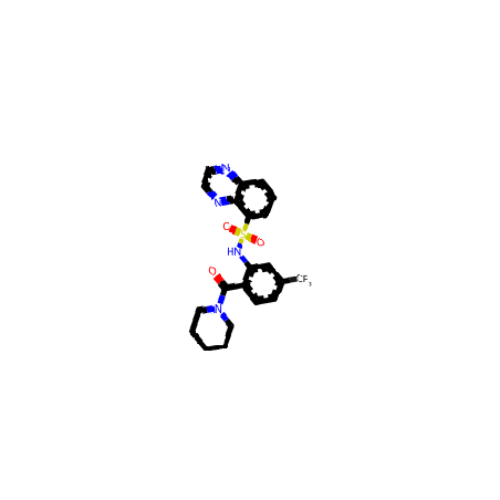 O=C(c1ccc(C(F)(F)F)cc1NS(=O)(=O)c1cccc2nccnc12)N1CCCCC1